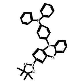 CC1(C)OB(c2ccc3c(c2)Sc2ccccc2N3c2ccc(N(c3ccccc3)c3ccccc3)cc2)OC1(C)C